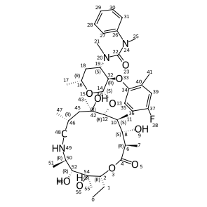 CC[C@H]1OC(=O)[C@H](C)[C@@H](O)[C@H](C)[C@@H](O[C@@H]2O[C@H](C)C[C@H](N(C)C(=O)N(C)c3ccccc3)[C@H]2Oc2ccc(F)cc2C)[C@](C)(O)C[C@@H](C)CN[C@H](C)[C@@H](O)[C@]1(C)O